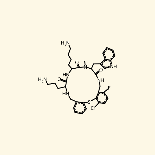 CN1C(=O)C(CCCCN)NC(=O)C(CCCN)NCc2ccccc2Sc2c(Cl)ccc(F)c2CNC(=O)C1Cc1c[nH]c2ccccc12